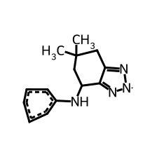 CC1(C)CC2=N[N]N=C2C(Nc2ccccc2)C1